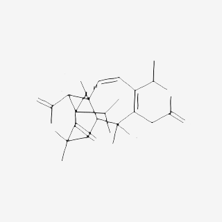 CC1OC(=O)CC2=C1C=CC1(C)C(CC3(C)OC(=O)[C@]1(C)C(O)(C(C)C)C3=O)C2(C)O